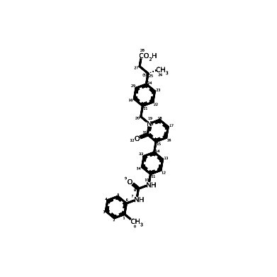 Cc1ccccc1NC(=O)Nc1ccc(-c2cccn(Cc3ccc([C@@H](C)CC(=O)O)cc3)c2=O)cc1